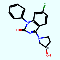 O=c1nc(N2CC[C@@H](O)C2)c2ccc(Cl)cc2n1-c1ccccc1